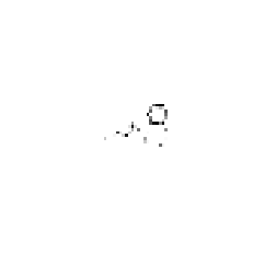 O=CCCCC(=O)N1CCOCc2ccccc21